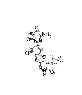 CC1(C)CC(c2cc(Oc3c(Cl)cc(-n4nc(N)c(=O)[nH]c4=O)cc3Cl)n[nH]c2=O)C1